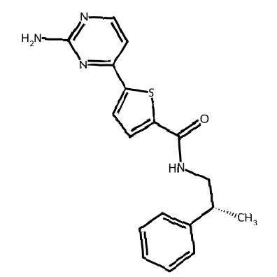 C[C@@H](CNC(=O)c1ccc(-c2ccnc(N)n2)s1)c1ccccc1